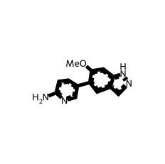 COc1cc2[nH]ncc2cc1-c1ccc(N)nc1